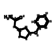 NC(=O)CN1CCC(Oc2ccncn2)C1